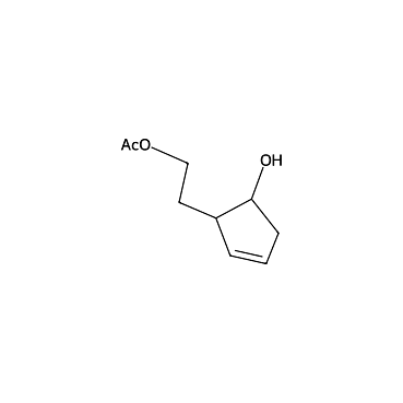 CC(=O)OCCC1C=CCC1O